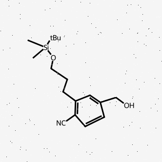 CC(C)(C)[Si](C)(C)OCCCc1cc(CO)ccc1C#N